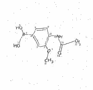 COc1cc(B(O)O)ccc1NC(C)=O